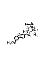 COc1ccc2oc3cc([C@@H](N[C@@H](CC(C)C)C(=O)NC4(C#N)CC4)C(F)(F)F)ccc3c2c1